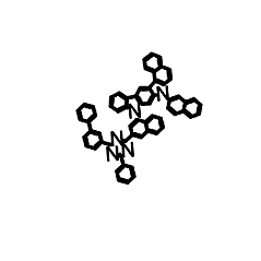 c1ccc(-c2cccc(-c3nc(-c4ccccc4)nc(-c4cc(-n5c6ccccc6c6cc7c8c9ccccc9ccc8n(-c8ccc9ccccc9c8)c7cc65)c5ccccc5c4)n3)c2)cc1